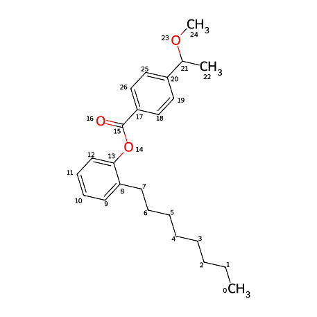 CCCCCCCCc1ccccc1OC(=O)c1ccc(C(C)OC)cc1